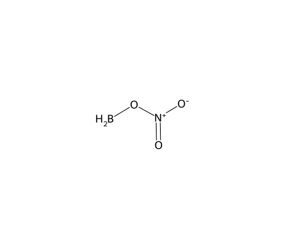 BO[N+](=O)[O-]